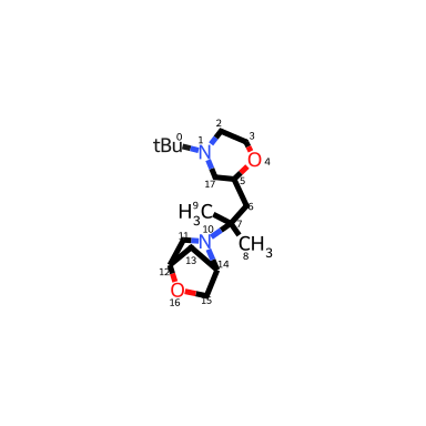 CC(C)(C)N1CCOC(CC(C)(C)N2CC3CC2CO3)C1